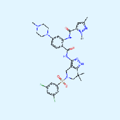 CCn1nc(C)cc1C(=O)Nc1cc(N2CCN(C)CC2)ccc1C(=O)Nc1n[nH]c2c1CN(S(=O)(=O)c1cc(F)cc(F)c1)CC2(C)C